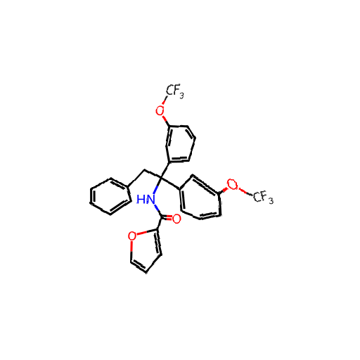 O=C(NC(Cc1ccccc1)(c1cccc(OC(F)(F)F)c1)c1cccc(OC(F)(F)F)c1)c1ccco1